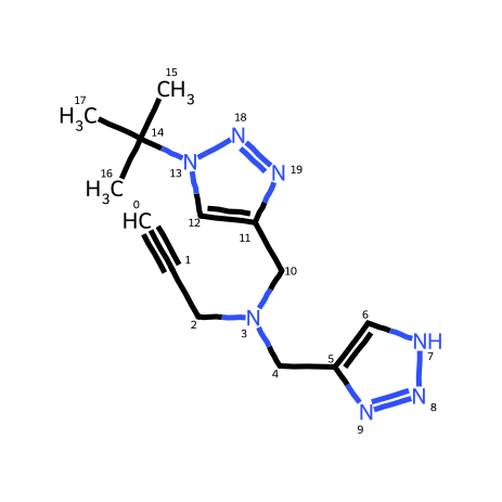 C#CCN(Cc1c[nH]nn1)Cc1cn(C(C)(C)C)nn1